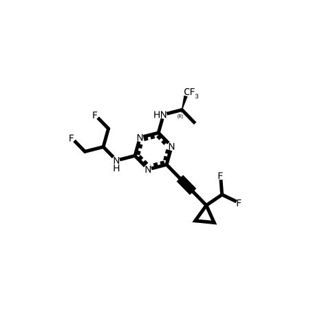 C[C@@H](Nc1nc(C#CC2(C(F)F)CC2)nc(NC(CF)CF)n1)C(F)(F)F